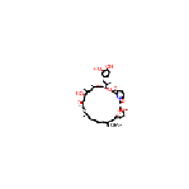 CO[C@H]1C[C@@H]2CC[C@@H](C)[C@](O)(CC(=O)N3CCCC[C@H]3C(=O)O[C@H]([C@H](C)C[C@@H]3CC[C@@H](O)[C@H](O)C3)CC(=O)[C@H](C)/C=C(\C)[C@@H](O)CC(=O)[C@H](C)C[C@H](C)/C=C/C=C/C=C/1C)O2